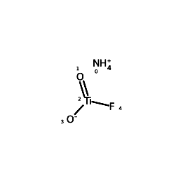 [NH4+].[O]=[Ti]([O-])[F]